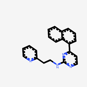 c1ccc(CCNc2nccc(-c3cccc4ccccc34)n2)nc1